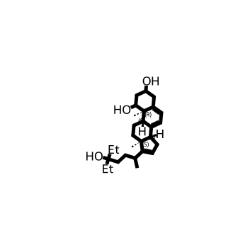 CCC(O)(CC)CCC(C)C1=CC[C@H]2C3=CC=C4CC(O)CC(O)[C@]4(C)[C@H]3CC[C@]12C